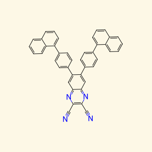 N#Cc1nc2cc(-c3ccc(-c4cccc5ccccc45)cc3)c(-c3ccc(-c4cccc5ccccc45)cc3)cc2nc1C#N